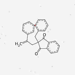 C=C(CC1(Cc2ccccc2)C(=O)c2ccccc2C1=O)c1ccccc1